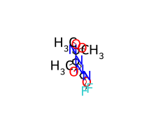 COc1cc(-c2cc(C)c3c(n2)CN(c2ccc(OCC(F)F)nc2)C3=O)cnc1OC